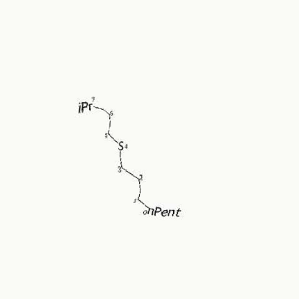 CCCCCCCCSCCC(C)C